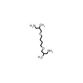 CC(CN)COCCCCOCC(C)CN